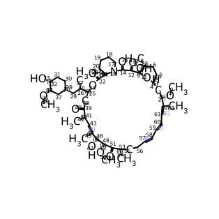 CO[C@H]1C[C@@H]2CC[C@@H](C)[C@@](O)(O2)C(=O)C(=O)N2CCCC[C@H]2C(=O)O[C@H]([C@H](C)C[C@@H]2CC[C@@H](O)[C@H](OC)C2)CC(=O)[C@H](C)/C=C(\C)[C@@H](O)[C@@H](OC)C(=O)[C@H](C)CC/C=C/C=C/C=C/1C